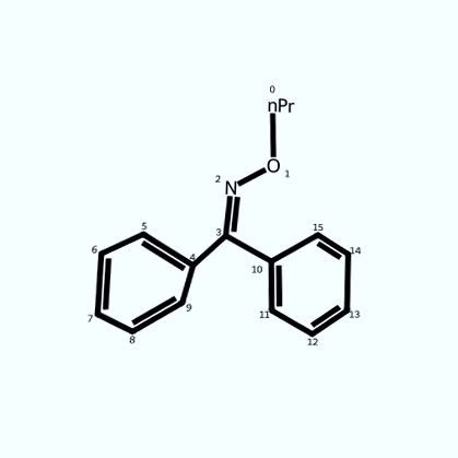 CCCON=C(c1ccccc1)c1ccccc1